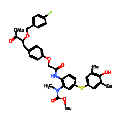 COC(=O)C(Cc1ccc(OCC(=O)Nc2ccc(Sc3cc(C(C)(C)C)c(O)c(C(C)(C)C)c3)cc2N(C)C(=O)OC(C)(C)C)cc1)OCc1ccc(F)cc1